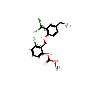 CCc1ccc(OCc2c(Cl)cccc2OC(=O)OC)c(C(F)F)c1